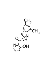 Cc1cc(C)c2nc(NC(=O)c3ncccc3O)sc2c1